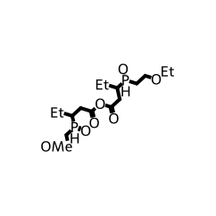 CCOCC[PH](=O)C(CC)CC(=O)OC(=O)CC(CC)[PH](=O)COC